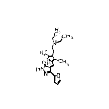 CCN(CC)CCc1c(C)[nH]c(C=C2C(=O)NN=C2c2ccco2)c1C